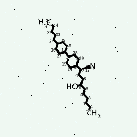 CCCCCCC(O)CCC(C#N)C1CCC(C2CCC(CCCCC)CC2)CC1